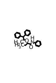 C=C(OC(CC)C(=O)Nc1ccccc1)C(c1ccccc1)c1ccccc1